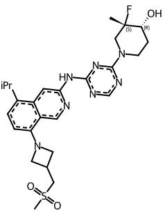 CC(C)c1ccc(N2CC(CS(C)(=O)=O)C2)c2cnc(Nc3ncnc(N4CC[C@@H](O)[C@@](C)(F)C4)n3)cc12